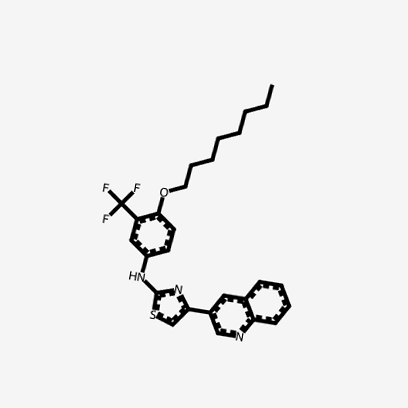 CCCCCCCCOc1ccc(Nc2nc(-c3cnc4ccccc4c3)cs2)cc1C(F)(F)F